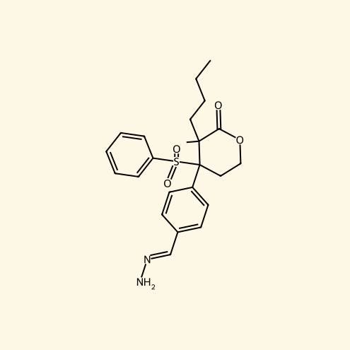 CCCCC1(C)C(=O)OCCC1(c1ccc(C=NN)cc1)S(=O)(=O)c1ccccc1